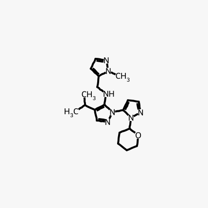 CC(C)c1cnn(-c2ccnn2C2CCCCO2)c1NCc1ccnn1C